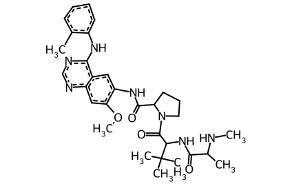 CNC(C)C(=O)NC(C(=O)N1CCCC1C(=O)Nc1cc2c(Nc3ccccc3C)ncnc2cc1OC)C(C)(C)C